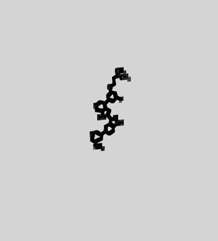 CN(C)CCOc1cc(F)cc(-c2cncc3[nH]c(-c4n[nH]c5ccc(-c6cncc(N)c6)cc45)cc23)c1